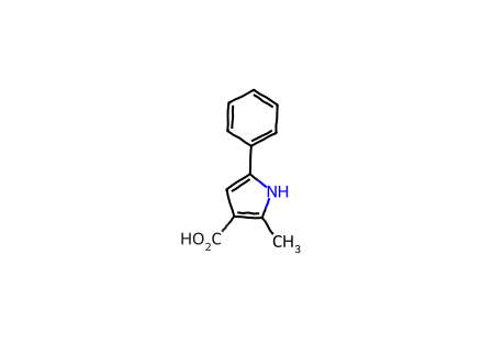 Cc1[nH]c(-c2ccccc2)cc1C(=O)O